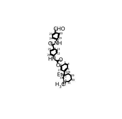 CCC1(c2cccc(OC(=O)Nc3ccc(C(=O)Nc4ccc(C=O)cc4)cc3)c2)CCCCN(C)C1